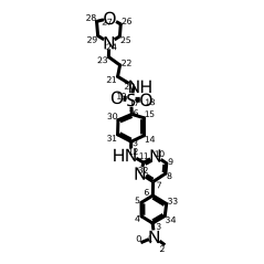 CN(C)c1ccc(-c2ccnc(Nc3ccc(S(=O)(=O)NCCCN4CCOCC4)cc3)n2)cc1